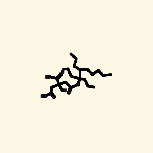 CCCCCC(CCC)C(CCC)(CCC)OC(=O)CC(O)(CC(=O)O)C(=O)O